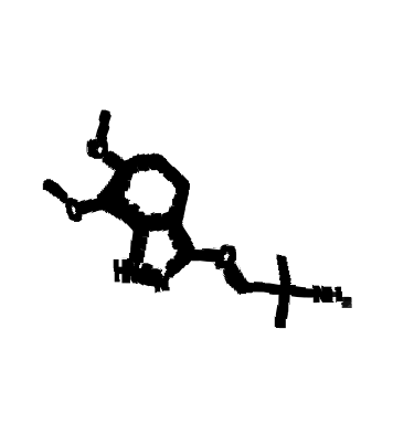 COc1ccc2c(OCC(C)(C)N)n[nH]c2c1OC